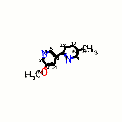 COc1cncc(C2=NCC(C)CC2)c1